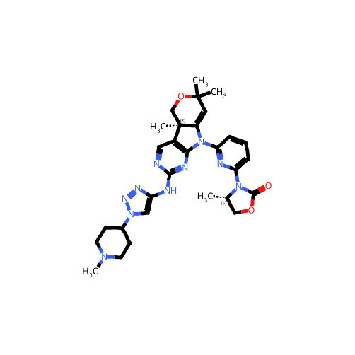 C[C@H]1COC(=O)N1c1cccc(N2C3=CC(C)(C)OC[C@]3(C)c3cnc(Nc4cn(C5CCN(C)CC5)nn4)nc32)n1